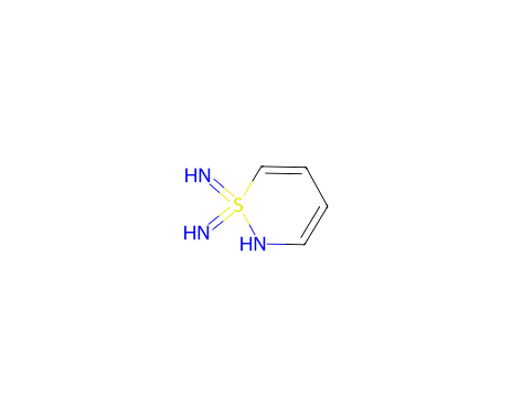 N=S1(=N)C=CC=CN1